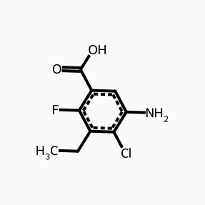 CCc1c(F)c(C(=O)O)cc(N)c1Cl